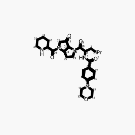 CC(C)CC(NC(=O)c1ccc(N2CCOCC2)cc1)C(=O)N1CCC2C1C(=O)CN2C(=O)C1CCCCN1